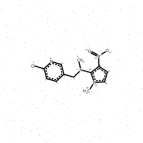 CN(Cc1ccc(Cl)nc1)c1c([N+](=O)[O-])ccn1C